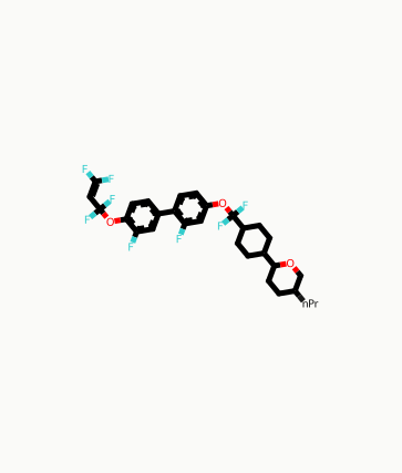 CCCC1CCC(C2CCC(C(F)(F)Oc3ccc(-c4ccc(OC(F)(F)C=C(F)F)c(F)c4)c(F)c3)CC2)OC1